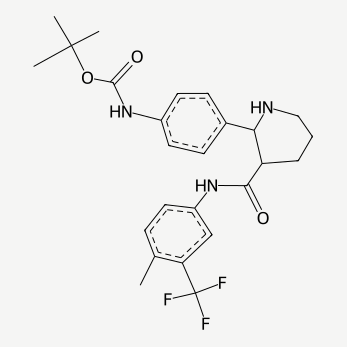 Cc1ccc(NC(=O)C2CCCNC2c2ccc(NC(=O)OC(C)(C)C)cc2)cc1C(F)(F)F